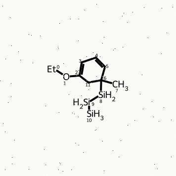 CCOC1=CC=CC(C)([SiH2][SiH2][SiH3])C1